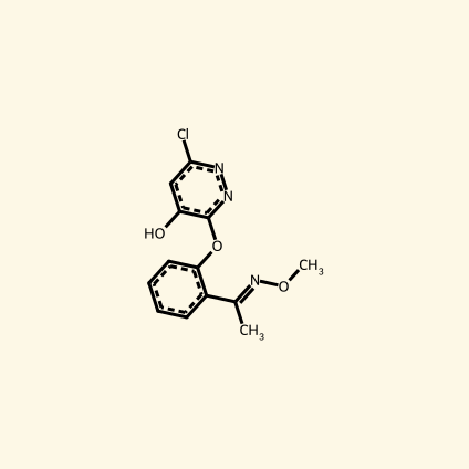 CON=C(C)c1ccccc1Oc1nnc(Cl)cc1O